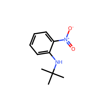 CC(C)(C)Nc1ccccc1[N+](=O)[O-]